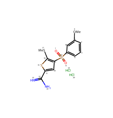 COc1cccc(S(=O)(=O)c2cc(C(=N)N)sc2SC)c1.Cl.Cl